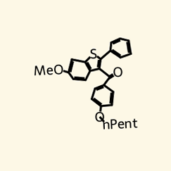 CCCCCOc1ccc(C(=O)c2c(-c3ccccc3)sc3cc(OC)ccc23)cc1